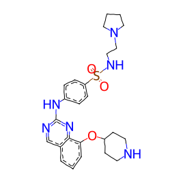 O=S(=O)(NCCN1CCCC1)c1ccc(Nc2ncc3cccc(OC4CCNCC4)c3n2)cc1